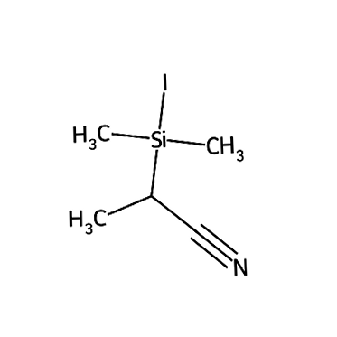 CC(C#N)[Si](C)(C)I